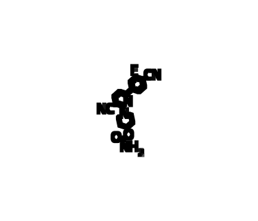 N#Cc1ccc(-c2ccc(C#N)c(N3CCC(OC(N)=O)CC3)n2)cc1F